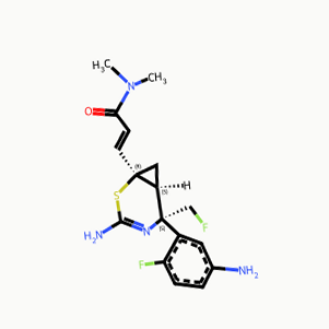 CN(C)C(=O)C=C[C@]12C[C@H]1[C@@](CF)(c1cc(N)ccc1F)N=C(N)S2